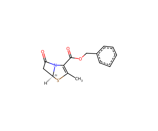 CC1=C(C(=O)OCc2ccccc2)N2C(=O)C[C@@H]2S1